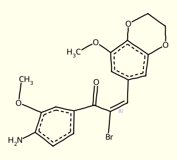 COc1cc(C(=O)/C(Br)=C\c2cc(OC)c3c(c2)OCCO3)ccc1N